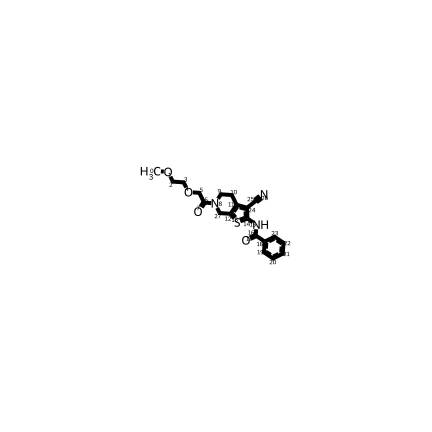 COCCOCC(=O)N1CCc2c(sc(NC(=O)c3ccccc3)c2C#N)C1